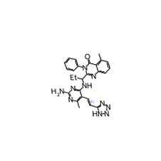 CCC(Nc1nc(N)nc(C)c1/C=C/c1nnn[nH]1)c1nc2cccc(C)c2c(=O)n1-c1ccccc1